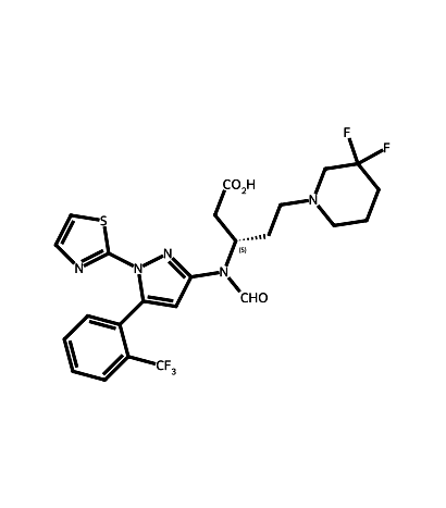 O=CN(c1cc(-c2ccccc2C(F)(F)F)n(-c2nccs2)n1)[C@@H](CCN1CCCC(F)(F)C1)CC(=O)O